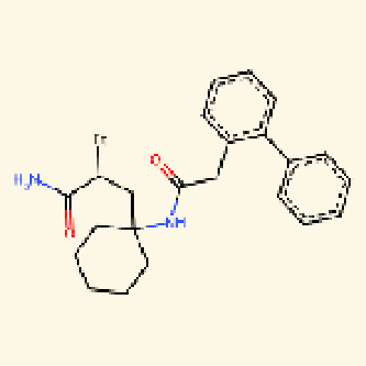 CCC(CC1(NC(=O)Cc2ccc[c]c2-c2ccccc2)CCCCC1)C(N)=O